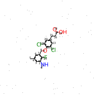 CNc1cc(C)cc(COc2c(Cl)cc(CCC(=O)O)cc2Cl)c1F